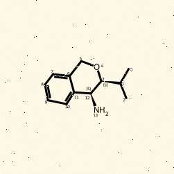 CC(C)[C@@H]1OCc2ccccc2[C@@H]1N